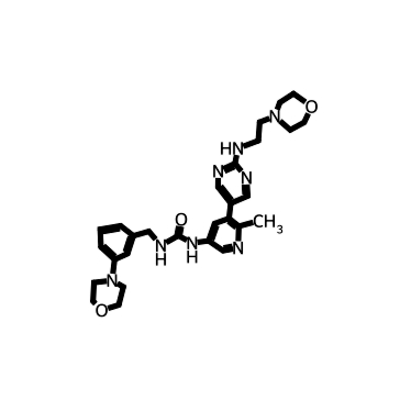 Cc1ncc(NC(=O)NCc2cccc(N3CCOCC3)c2)cc1-c1cnc(NCCN2CCOCC2)nc1